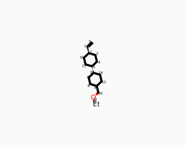 C=C[C@H]1CC[C@H](C2CCC(COCC)CC2)CC1